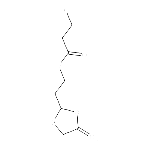 CCCC(=O)OCCC1OCC(=O)O1